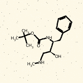 CNC[C@H](O)[C@H](Cc1ccccc1)NC(=O)OC(C)(C)C